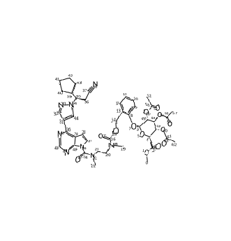 COC(=O)[C@H]1O[C@@H](Oc2ccccc2COC(=O)N(C)CCN(C)C(=O)n2ccc3c(-c4cnn([C@H](CC#N)C5CCCC5)c4)ncnc32)[C@H](OC(C)=O)[C@@H](OC(C)=O)[C@@H]1OC(C)=O